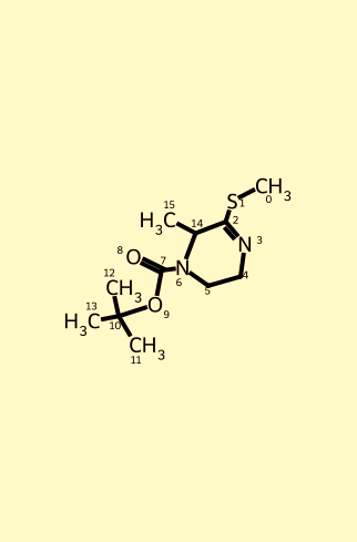 CSC1=NCCN(C(=O)OC(C)(C)C)C1C